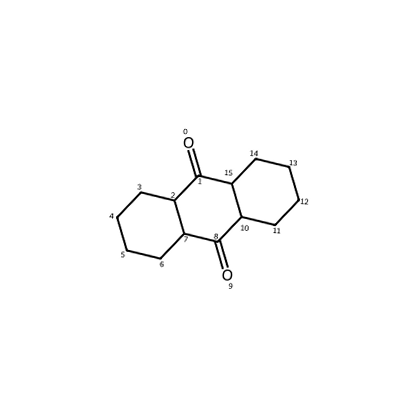 O=C1C2CCCCC2C(=O)C2CCCCC12